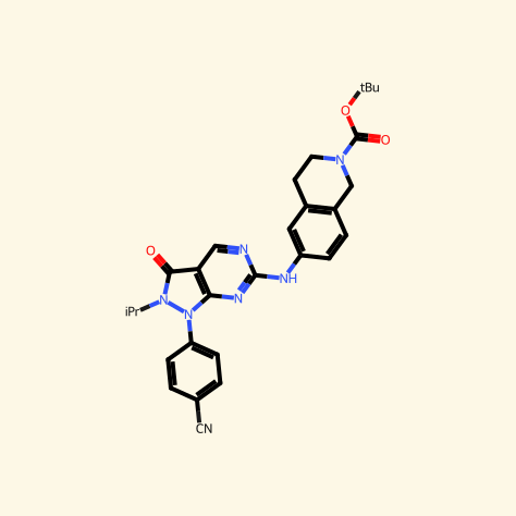 CC(C)n1c(=O)c2cnc(Nc3ccc4c(c3)CCN(C(=O)OC(C)(C)C)C4)nc2n1-c1ccc(C#N)cc1